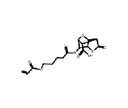 C=CC(=O)OCCCCC(=O)OC1C2OC(=O)C3C2OC1C3C(=O)O